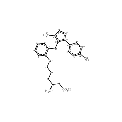 CCOC(=O)C[C@@H](C)CCCOc1ccccc1Cn1c(C)cnc1-c1ccc(C(F)(F)F)nc1